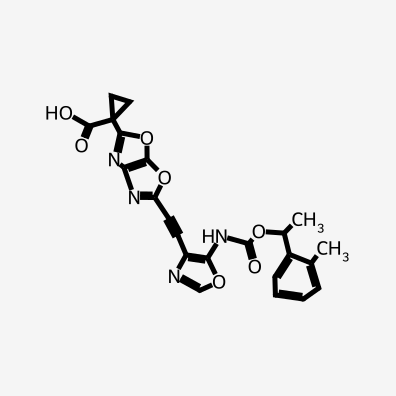 Cc1ccccc1C(C)OC(=O)Nc1ocnc1C#Cc1nc2nc(C3(C(=O)O)CC3)oc2o1